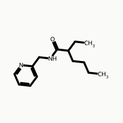 CCCCC(CC)C(=O)NCc1ccccn1